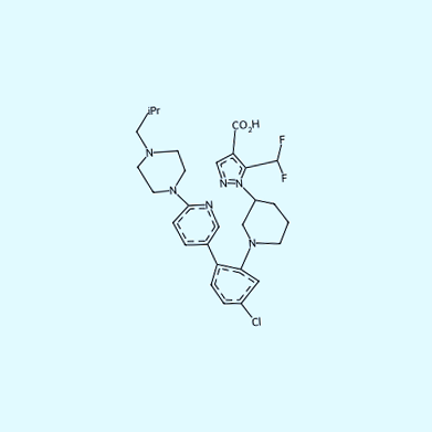 CC(C)CN1CCN(c2ccc(-c3ccc(Cl)cc3N3CCCC(n4ncc(C(=O)O)c4C(F)F)C3)cn2)CC1